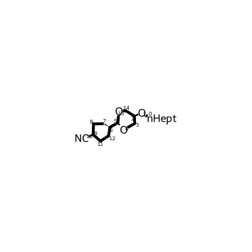 CCCCCCCO[C@H]1CO[C@H]([C@H]2CC[C@H](C#N)CC2)OC1